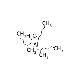 CCCCC(C)[CH2][Al]([CH2]C(C)CCCC)[CH2]C(C)CCCC